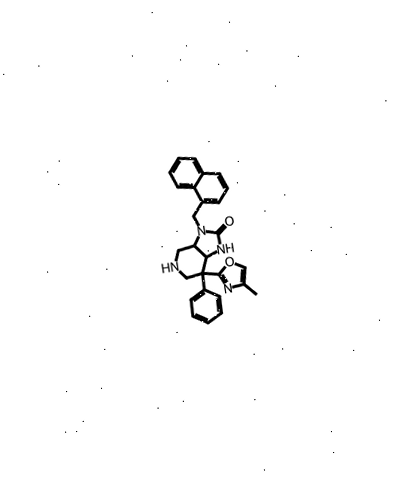 Cc1coc(C2(c3ccccc3)CNCC3C2NC(=O)N3Cc2cccc3ccccc23)n1